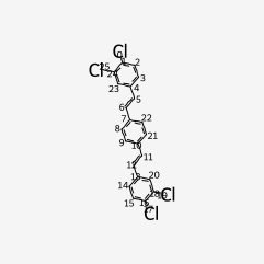 Clc1ccc(C=Cc2ccc(C=Cc3ccc(Cl)c(Cl)c3)cc2)cc1Cl